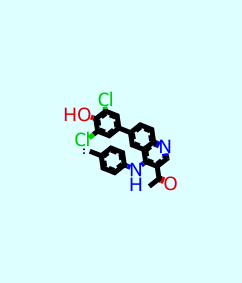 [CH]c1ccc(Nc2c(C(C)=O)cnc3ccc(-c4cc(Cl)c(O)c(Cl)c4)cc23)cc1